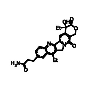 CCc1c2c(nc3ccc(CCC(N)=O)cc13)-c1cc3c(c(=O)n1C2)COC(=O)[C@]3(O)CC